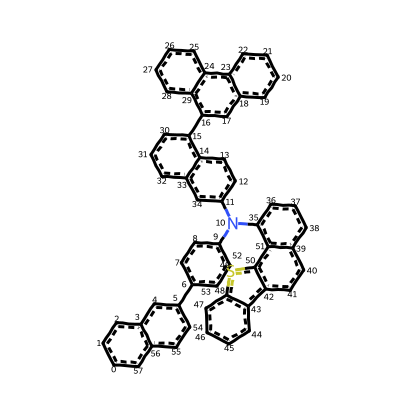 c1ccc2cc(-c3ccc(N(c4ccc5c(-c6cc7ccccc7c7ccccc67)cccc5c4)c4cccc5ccc6c7ccccc7sc6c45)cc3)ccc2c1